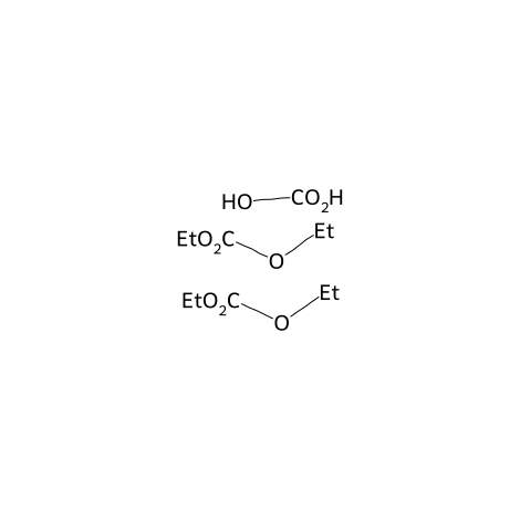 CCOC(=O)OCC.CCOC(=O)OCC.O=C(O)O